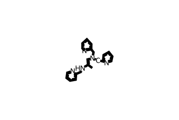 CC(=CN(Cc1ccccn1)Cc1ccccn1)NCc1ccccn1